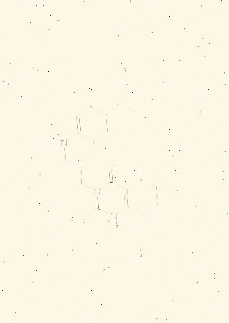 COc1ccc(N(C)CCCn2c(=S)[nH]c3ccc(F)cc3c2=O)cc1